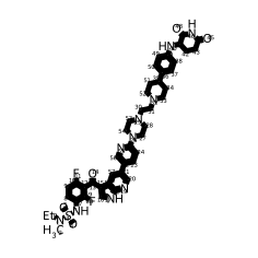 CCN(C)S(=O)(=O)Nc1ccc(F)c(C(=O)c2c[nH]c3ncc(-c4ccc(N5CCN(CCN6CCC(c7ccc(NC8CCC(=O)NC8=O)cc7)CC6)CC5)nc4)cc23)c1F